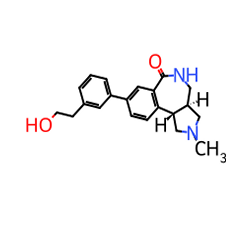 CN1C[C@@H]2CNC(=O)c3cc(-c4cccc(CCO)c4)ccc3[C@H]2C1